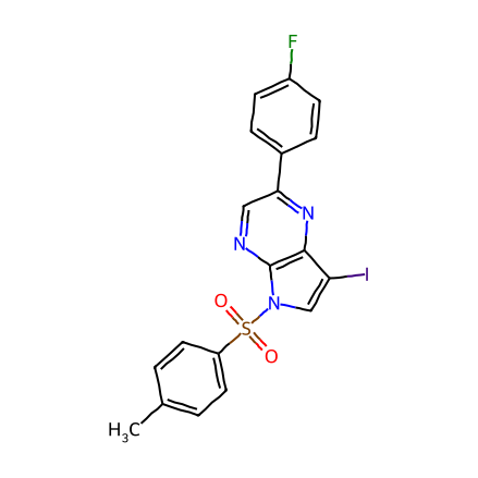 Cc1ccc(S(=O)(=O)n2cc(I)c3nc(-c4ccc(F)cc4)cnc32)cc1